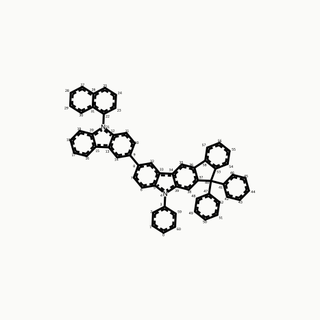 c1ccc(-n2c3ccc(-c4ccc5c(c4)c4ccccc4n5-c4cccc5ccccc45)cc3c3cc4c(cc32)C(c2ccccc2)(c2ccccc2)c2ccccc2-4)cc1